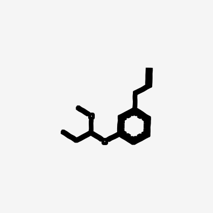 C=CCc1cccc(OC(CC)OC)c1